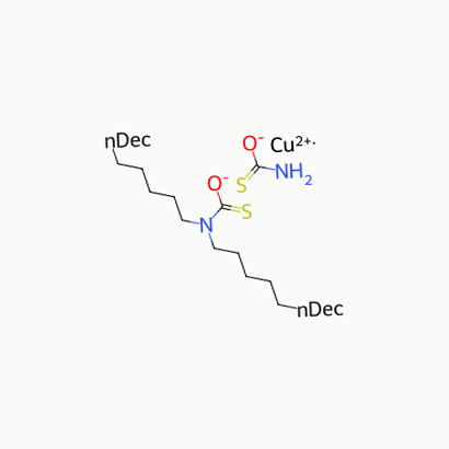 CCCCCCCCCCCCCCCN(CCCCCCCCCCCCCCC)C([O-])=S.NC([O-])=S.[Cu+2]